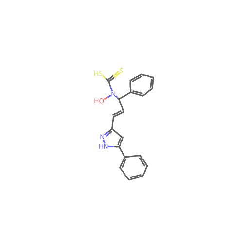 ON(C(=S)S)C(C=Cc1cc(-c2ccccc2)[nH]n1)c1ccccc1